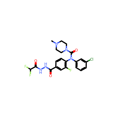 CN1CCN(C(=O)N(c2cccc(Cl)c2)c2ccc(C(=O)NNC(=O)C(F)F)cc2F)CC1